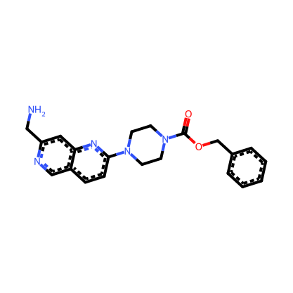 NCc1cc2nc(N3CCN(C(=O)OCc4ccccc4)CC3)ccc2cn1